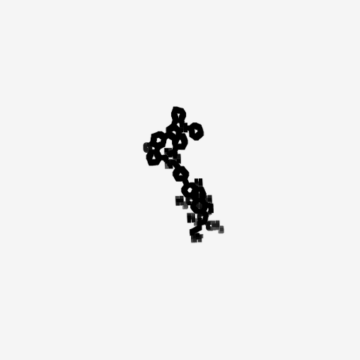 CC(C)CCC[C@@H](C)[C@H]1CC[C@H]2[C@@H]3CC[C@H]4CC(c5ccc(-c6nc(-c7ccccc7)nc(-c7cccc8oc9ccc(-c%10ccc%11c(c%10)c%10ccccc%10n%11-c%10ccccc%10)cc9c78)n6)cc5)CC[C@]4(C)[C@H]3CC[C@]12C